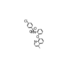 Cc1ccnc2c(Oc3ccccc3NS(=O)(=O)c3ccc(Cl)cc3)cccc12